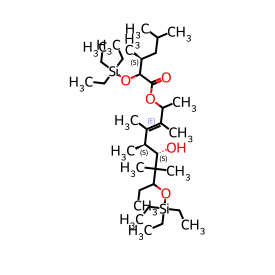 CCC(O[Si](CC)(CC)CC)C(C)(C)[C@@H](O)[C@@H](C)/C(C)=C(\C)C(C)OC(=O)C(O[Si](CC)(CC)CC)[C@@H](C)CC(C)C